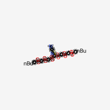 CCCCC1CCC(C(=O)OC2CCC(C(=O)O[C@H]3CC[C@H](C(=O)Oc4ccc(OC(=O)[C@H]5CC[C@H](OC(=O)C6CCC(OC(=O)[C@H]7CC[C@H](CCCC)CC7)CC6)CC5)c5nc(-c6ccc(N(C)C)cc6)sc45)CC3)CC2)CC1